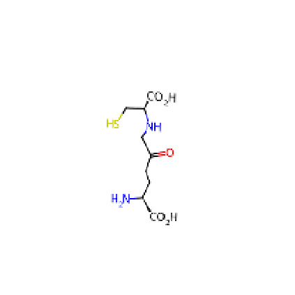 N[C@@H](CCC(=O)CN[C@@H](CS)C(=O)O)C(=O)O